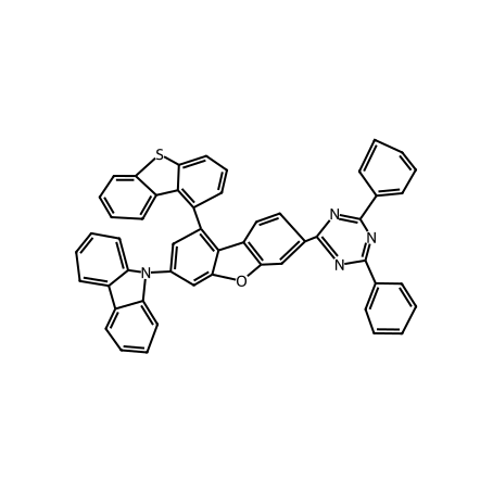 c1ccc(-c2nc(-c3ccccc3)nc(-c3ccc4c(c3)oc3cc(-n5c6ccccc6c6ccccc65)cc(-c5cccc6sc7ccccc7c56)c34)n2)cc1